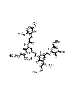 CC(C)(C)OC(=O)N[C@@H](CCC(=O)N[C@@H](CSSC[C@H](NC(=O)CC[C@H](NC(=O)OC(C)(C)C)C(=O)OC(C)(C)C)C(=O)N[C@@H](COS(=O)(=O)O)C(=O)O)C(=O)N[C@@H](COS(=O)(=O)O)C(=O)O)C(=O)OC(C)(C)C